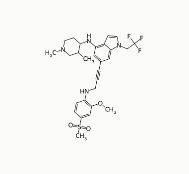 COc1cc(S(C)(=O)=O)ccc1NCC#Cc1cc(NC2CCN(C)CC2C)c2ccn(CC(F)(F)F)c2c1